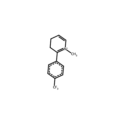 C[N+]1=C(c2ccc(C(F)(F)F)cc2)CCC=C1